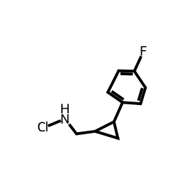 Fc1ccc(C2CC2CNCl)cc1